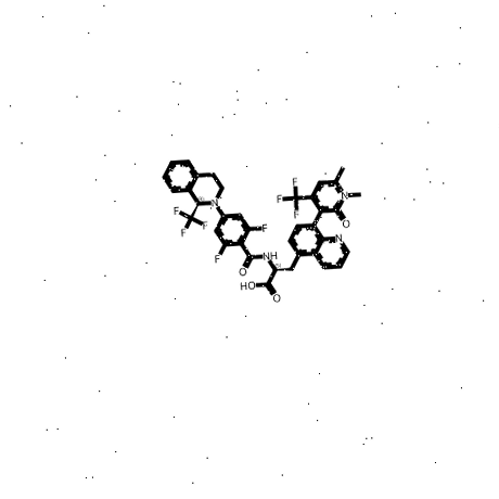 Cc1cc(C(F)(F)F)c(-c2ccc(C[C@H](NC(=O)c3c(F)cc(N4CCc5ccccc5[C@@H]4C(F)(F)F)cc3F)C(=O)O)c3cccnc23)c(=O)n1C